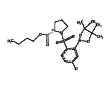 CCCCOC(=O)[C@@H]1CCCN1S(=O)(=O)c1ccc(Cl)cc1B1OC(C)(C)C(C)(C)O1